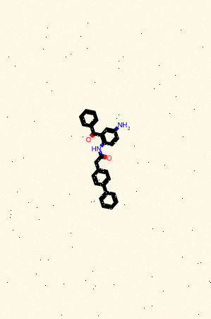 Nc1ccc(NC(=O)Cc2ccc(-c3ccccc3)cc2)c(C(=O)c2ccccc2)c1